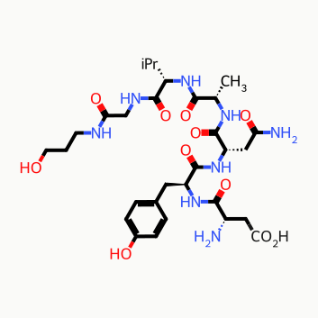 CC(C)[C@H](NC(=O)[C@H](C)NC(=O)[C@H](CC(N)=O)NC(=O)[C@H](Cc1ccc(O)cc1)NC(=O)[C@@H](N)CC(=O)O)C(=O)NCC(=O)NCCCO